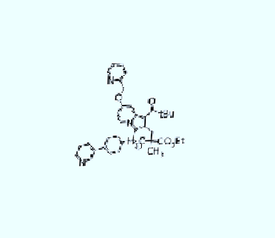 CCOC(=O)C(C)(C)Cc1c(C(=O)C(C)(C)C)c2cc(OCc3ccccn3)ccn2c1C(=O)c1ccc(-c2cccnc2)cc1